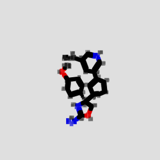 CCOc1ccc([C@]2(c3cccc(-c4cncc(OC)c4)c3)COC(N)=N2)cc1